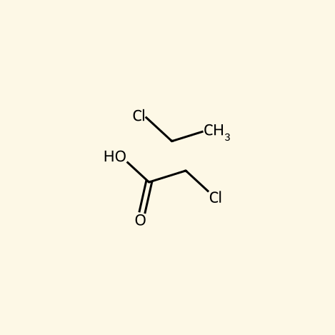 CCCl.O=C(O)CCl